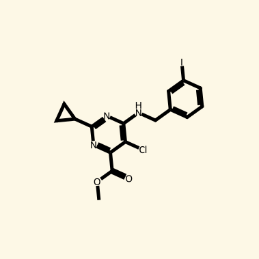 COC(=O)c1nc(C2CC2)nc(NCc2cccc(I)c2)c1Cl